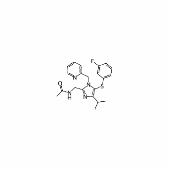 CC(=O)NCc1nc(C(C)C)c(Sc2cccc(F)c2)n1Cc1ccccn1